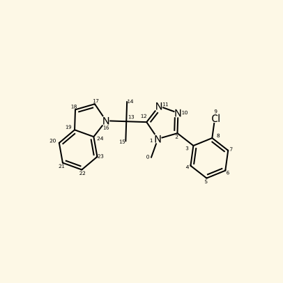 Cn1c(-c2ccccc2Cl)nnc1C(C)(C)n1ccc2ccccc21